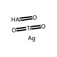 [Ag].[O]=[AlH].[O]=[Ti]=[O]